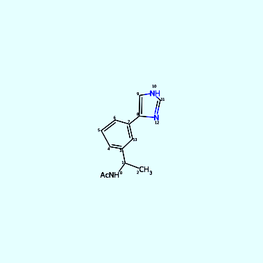 CC(=O)NC(C)c1cccc(-c2c[nH]cn2)c1